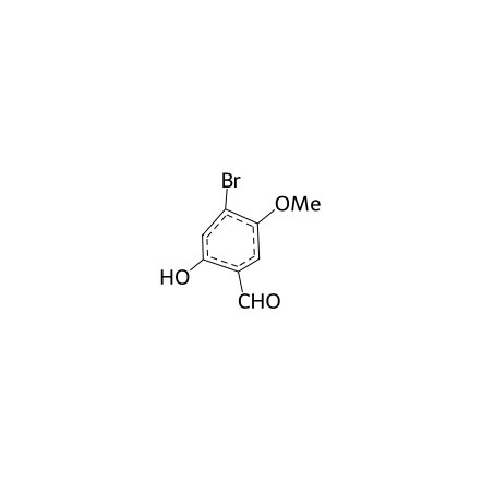 COc1cc(C=O)c(O)cc1Br